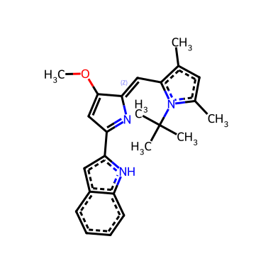 COC1=CC(c2cc3ccccc3[nH]2)=N/C1=C\c1c(C)cc(C)n1C(C)(C)C